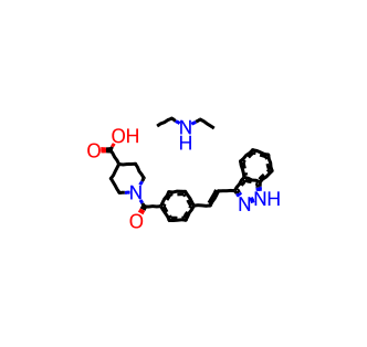 CCNCC.O=C(O)C1CCN(C(=O)c2ccc(C=Cc3n[nH]c4ccccc34)cc2)CC1